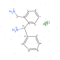 Cl.Cl.NCc1ccccc1C(N)c1ccccc1